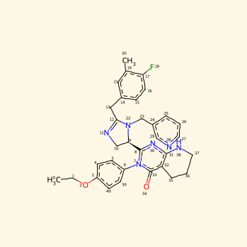 CCOc1ccc(-n2c([C@H]3CN=C(Cc4ccc(F)c(C)c4)N3Cc3cccnc3)nc3c(c2=O)CCCN3)cc1